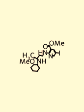 COC(=O)c1cc(I)cnc1NCCC(NC1CCCCC1)C(C)OC